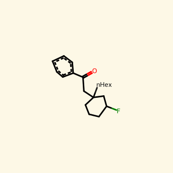 CCCCCCC1(CC(=O)c2ccccc2)CCCC(F)C1